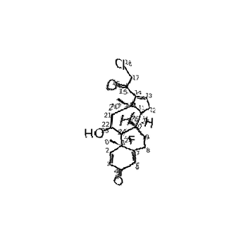 C[C@]12C=CC(=O)C=C1CC[C@H]1[C@@H]3CC=C(C(=O)CCl)[C@@]3(C)CC(O)[C@@]12F